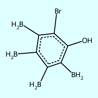 Bc1c(B)c(B)c(Br)c(O)c1B